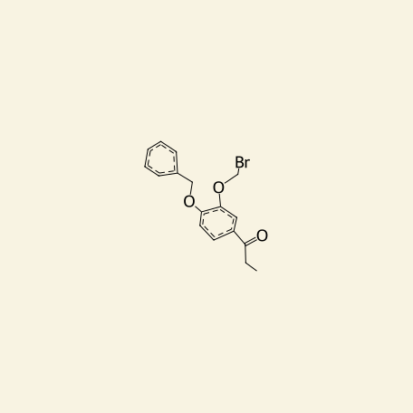 CCC(=O)c1ccc(OCc2ccccc2)c(OCBr)c1